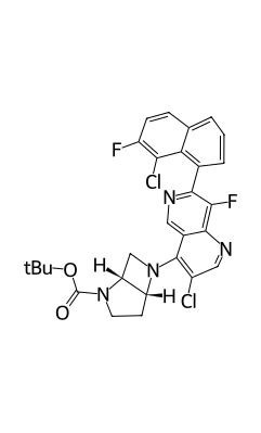 CC(C)(C)OC(=O)N1CC[C@@H]2[C@H]1CN2c1c(Cl)cnc2c(F)c(-c3cccc4ccc(F)c(Cl)c34)ncc12